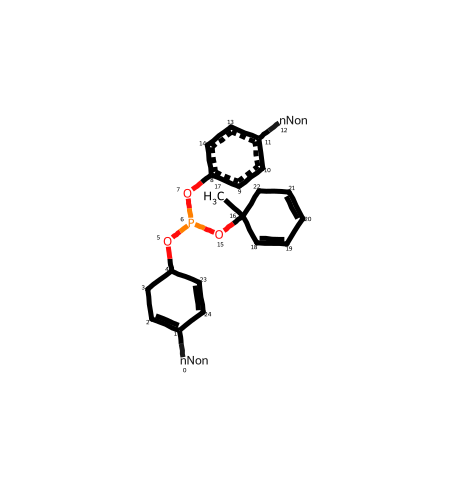 CCCCCCCCCC1=CCC(OP(Oc2ccc(CCCCCCCCC)cc2)OC2(C)C=CC=CC2)C=C1